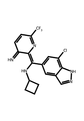 N=C1C=CC(C(F)(F)F)=N/C1=C(/NC1CCC1)c1cc(Cl)c2[nH]ncc2c1